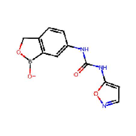 O=C(Nc1ccc2c(c1)B(O)OC2)Nc1ccno1